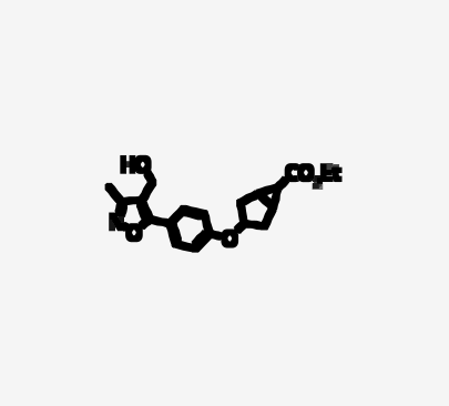 CCOC(=O)C1C2CC(Oc3ccc(-c4onc(C)c4CO)cc3)CC21